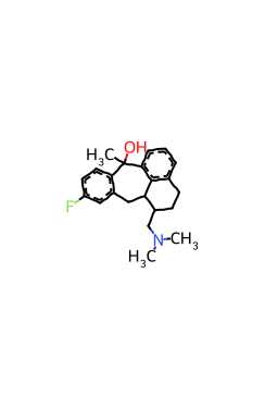 CN(C)CC1CCc2cccc3c2C1Cc1cc(F)ccc1C3(C)O